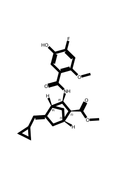 COC(=O)[C@H]1[C@@H]2CC(=CC3CC3)[C@@H](C2)[C@H]1NC(=O)c1cc(O)c(F)cc1OC